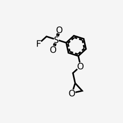 O=S(=O)(CF)c1cccc(OCC2CO2)c1